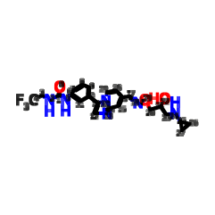 O=C(NCC(F)(F)F)Nc1cccc(-c2cnc3cc(C=NOCC(O)CNC4CC4)ccn23)c1